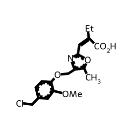 CCC(=Cc1nc(COc2ccc(CCl)cc2OC)c(C)o1)C(=O)O